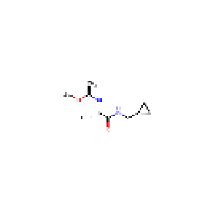 C=C(N[C@@H](C)C(=O)NCC1CC1)OC(C)(C)C